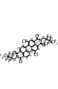 O=C1c2ccc3c4c(Cl)cc5c6c(cc(Cl)c(c7ccc(c2c37)C(=O)N1CC(F)(F)C(F)(F)C(F)(F)F)c64)C(=O)N(CC(F)(F)C(F)(F)C(F)(F)F)C5=O